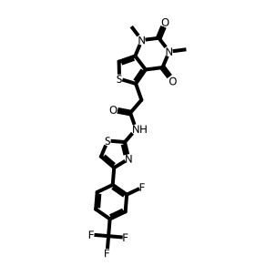 Cn1c(=O)c2c(CC(=O)Nc3nc(-c4ccc(C(F)(F)F)cc4F)cs3)scc2n(C)c1=O